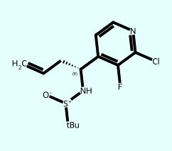 C=CC[C@@H](N[S+]([O-])C(C)(C)C)c1ccnc(Cl)c1F